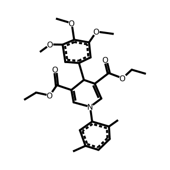 CCOC(=O)C1=CN(c2cc(C)ccc2C)C=C(C(=O)OCC)C1c1cc(OC)c(OC)c(OC)c1